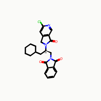 O=C1c2ccccc2C(=O)N1C[C@@H](CC1CCCCC1)N1Cc2cc(Cl)ncc2C1=O